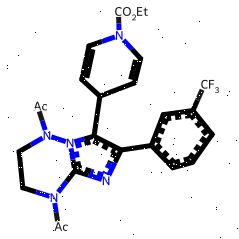 CCOC(=O)N1C=CC(c2c(-c3cccc(C(F)(F)F)c3)nc3n2N(C(C)=O)CCN3C(C)=O)C=C1